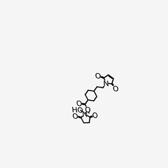 O=C(O[N+]1(O)C(=O)CCC1=O)C1CCC(CCN2C(=O)C=CC2=O)CC1